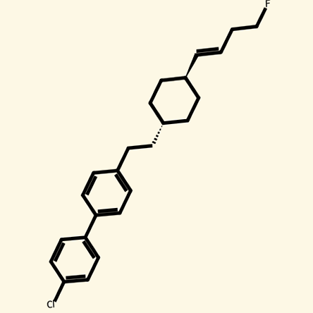 FCC/C=C/[C@H]1CC[C@H](CCc2ccc(-c3ccc(Cl)cc3)cc2)CC1